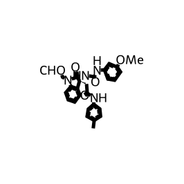 COc1cccc(NC(=O)N[C@]2(CC(=O)Nc3ccc(C)cc3)C(=O)N(CC=O)c3ccccc32)c1